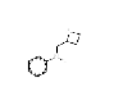 CCN(CC1CCN1)c1ccccc1